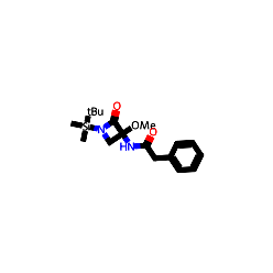 COC1(NC(=O)Cc2ccccc2)CN([Si](C)(C)C(C)(C)C)C1=O